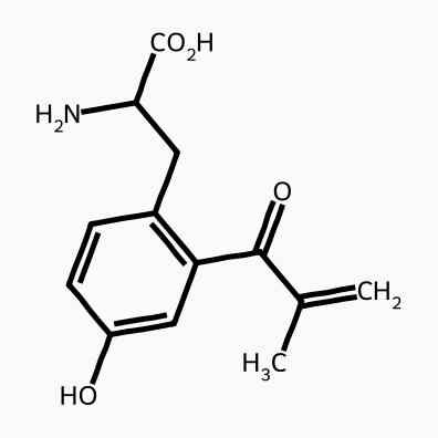 C=C(C)C(=O)c1cc(O)ccc1CC(N)C(=O)O